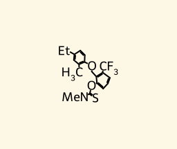 CCc1ccc(OCc2c(OC(=S)NC)cccc2C(F)(F)F)c(C)c1